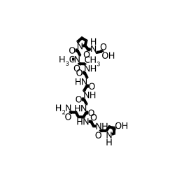 CC(NC(=O)CNC(=O)CNC(=O)CNC(=O)C(CCC(N)=O)NC(=O)CNC(=O)C1C[C@@H](O)CN1)C(=O)N(C)CC(=O)N1CCCC1C(=O)NCC(=O)O